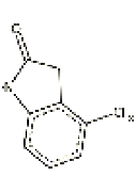 O=C1Cc2c(cccc2C(F)(F)F)[N]1